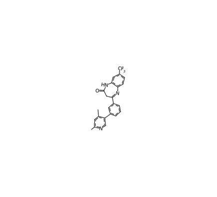 Cc1cc(C)c(-c2cccc(C3=Nc4ccc(C(F)(F)F)cc4NC(=O)C3)c2)cn1